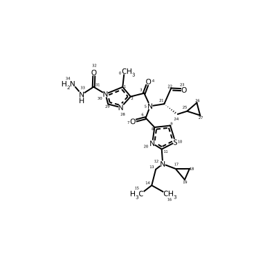 Cc1c(C(=O)N(C(=O)c2csc(N(CC(C)C)C3CC3)n2)[C@H]([C]=O)CC2CC2)ncn1C(=O)NN